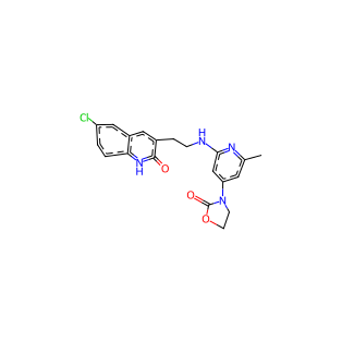 Cc1cc(N2CCOC2=O)cc(NCCc2cc3cc(Cl)ccc3[nH]c2=O)n1